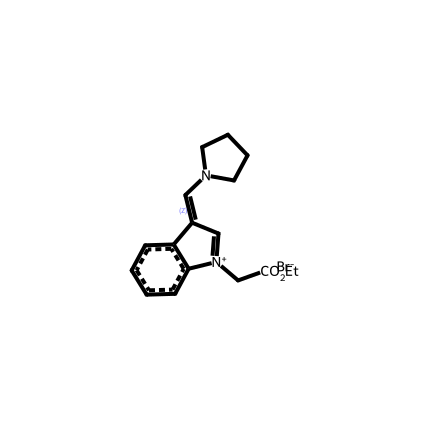 CCOC(=O)C[N+]1=C/C(=C\N2CCCC2)c2ccccc21.[Br-]